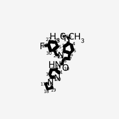 CN(C)c1ccc2cc(C(=O)Nc3ccc(N4CCC4)nc3)n(Cc3cccc(F)c3)c2c1